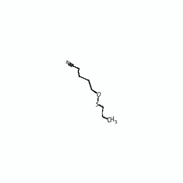 CCCSOCCCCC#N